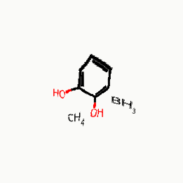 B.C.Oc1ccccc1O